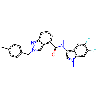 Cc1ccc(Cn2cc3c(C(=O)Nc4c[nH]c5cc(F)c(F)cc45)cccc3n2)cc1